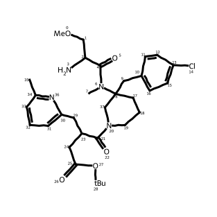 COCC(N)C(=O)N(C)C1(Cc2ccc(Cl)cc2)CCCN(C(=O)C(CC(=O)OC(C)(C)C)Cc2cccc(C)n2)C1